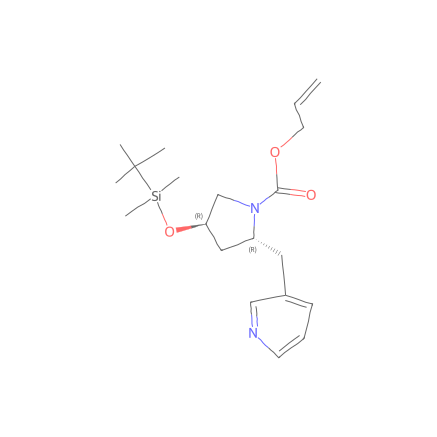 C=CCOC(=O)N1C[C@H](O[Si](C)(C)C(C)(C)C)C[C@H]1Cc1cccnc1